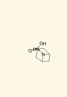 O=C(O)N1C2CNCC1C2